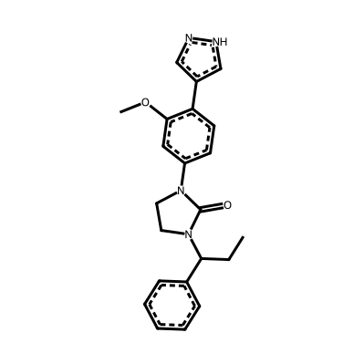 CCC(c1ccccc1)N1CCN(c2ccc(-c3cn[nH]c3)c(OC)c2)C1=O